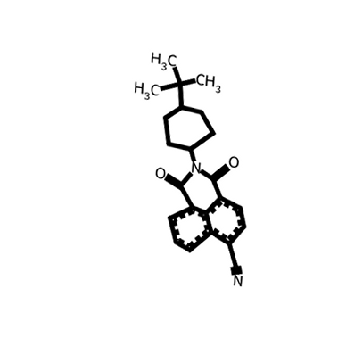 CC(C)(C)C1CCC(N2C(=O)c3cccc4c(C#N)ccc(c34)C2=O)CC1